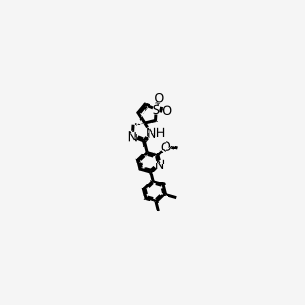 COc1nc(-c2ccc(C)c(C)c2)ccc1C1=NC[C@@]2(C=CS(=O)(=O)C2)N1